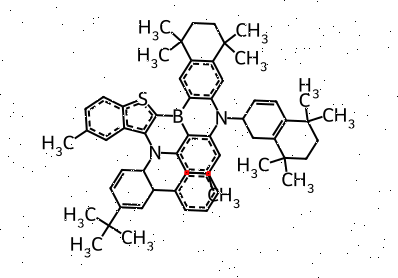 Cc1cc2c3c(c1)N(C1C=CC(C(C)(C)C)=CC1c1ccccc1)c1c(sc4ccc(C)cc14)B3c1cc3c(cc1N2C1C=CC2=C(C1)C(C)(C)CCC2(C)C)C(C)(C)CCC3(C)C